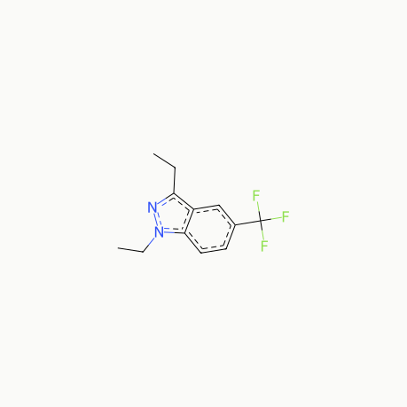 CCc1nn(CC)c2ccc(C(F)(F)F)cc12